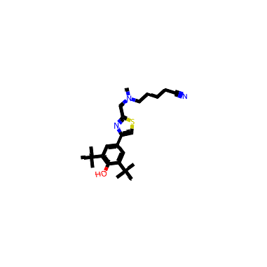 CN(CCCCC#N)Cc1nc(-c2cc(C(C)(C)C)c(O)c(C(C)(C)C)c2)cs1